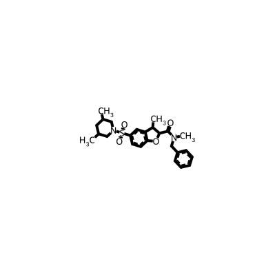 CC1CC(C)CN(S(=O)(=O)c2ccc3c(c2)C(C)C(C(=O)N(C)Cc2ccccc2)O3)C1